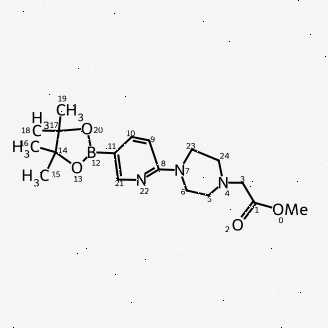 COC(=O)CN1CCN(c2ccc(B3OC(C)(C)C(C)(C)O3)cn2)CC1